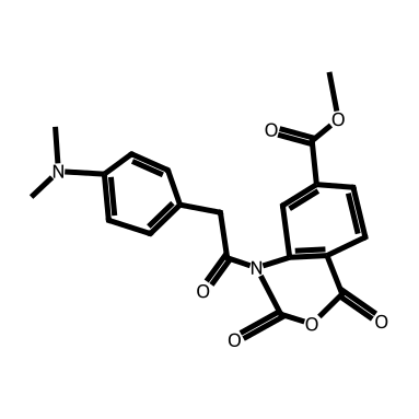 COC(=O)c1ccc2c(=O)oc(=O)n(C(=O)Cc3ccc(N(C)C)cc3)c2c1